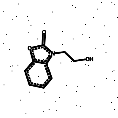 O=c1oc2ccccc2n1CCO